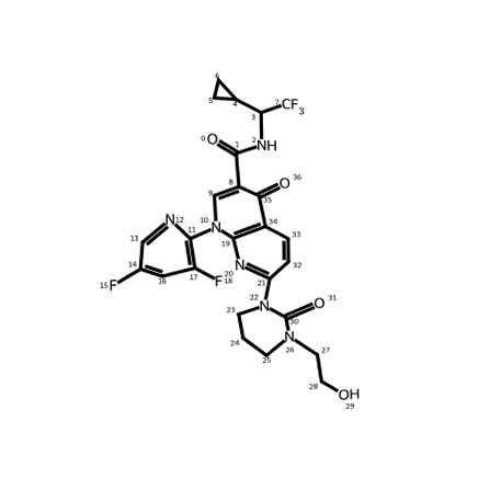 O=C(NC(C1CC1)C(F)(F)F)c1cn(-c2ncc(F)cc2F)c2nc(N3CCCN(CCO)C3=O)ccc2c1=O